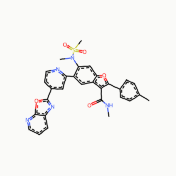 CNC(=O)c1c(-c2ccc(C)cc2)oc2cc(N(C)S(C)(=O)=O)c(-c3cc(-c4nc5cccnc5o4)ccn3)cc12